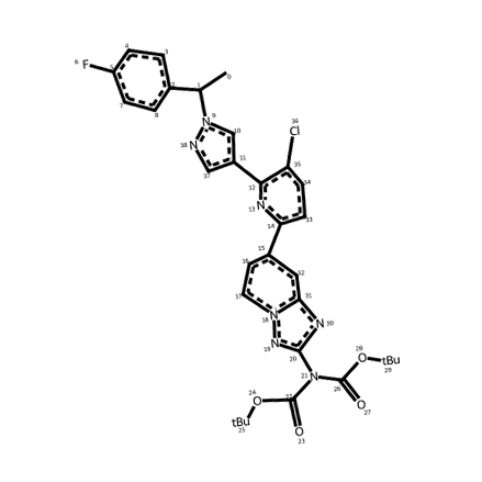 CC(c1ccc(F)cc1)n1cc(-c2nc(-c3ccn4nc(N(C(=O)OC(C)(C)C)C(=O)OC(C)(C)C)nc4c3)ccc2Cl)cn1